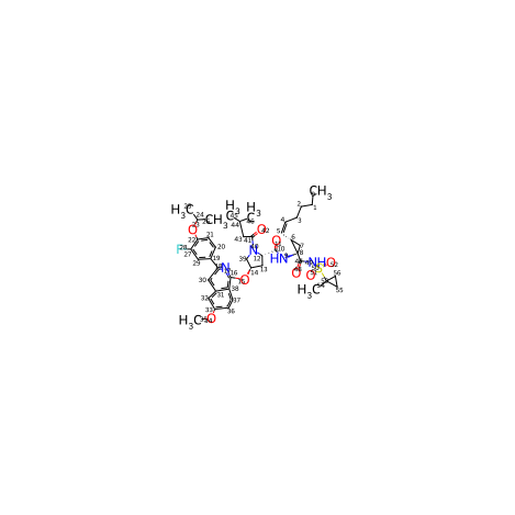 CCCC/C=C\[C@@H]1C[C@]1(NC(=O)[C@@H]1C[C@@H](Oc2nc(-c3ccc(OC(C)C)c(F)c3)cc3cc(OC)ccc23)CN1C(=O)CC(C)C)C(=O)NS(=O)(=O)C1(C)CC1